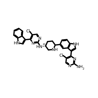 Nc1ncc(Cl)c(-c2c[nH]c3ccc(C4CC[C@@H](Nc5ncc(Cl)c(-c6c[nH]c7ccccc67)n5)CN4)cc23)n1